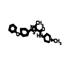 Cc1nc(-c2ccc(Oc3ccccc3)cc2)sc1C(=O)NC1CCN(C)CC1